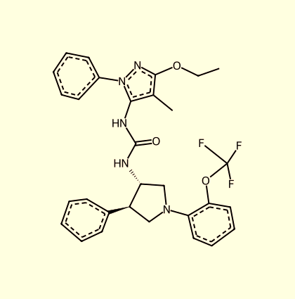 CCOc1nn(-c2ccccc2)c(NC(=O)N[C@@H]2CN(c3ccccc3OC(F)(F)F)C[C@H]2c2ccccc2)c1C